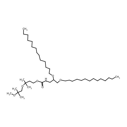 CCCCCCCCCCCCCCOCC(CNC(=O)OCCC(C)(C)OCC(C)(C)OC)OCCCCCCCCCCCCCC